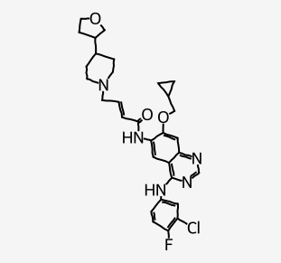 O=C(C=CCN1CCC(C2CCOC2)CC1)Nc1cc2c(Nc3ccc(F)c(Cl)c3)ncnc2cc1OCC1CC1